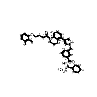 Cc1cccc(OCCCC(=O)N2CCCc3c(-c4cnn(Cc5cccc(C(=O)N[C@H](C(=O)O)C6CCCCC6)c5)c4)cccc32)c1C